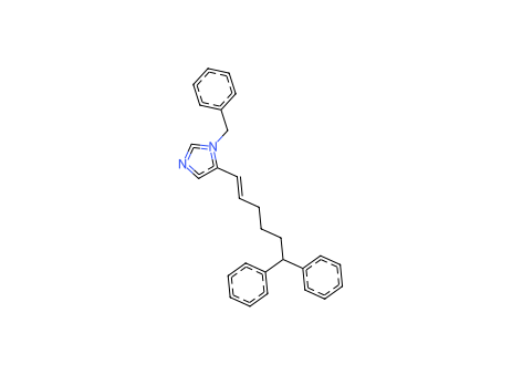 C(=C\c1cncn1Cc1ccccc1)/CCCC(c1ccccc1)c1ccccc1